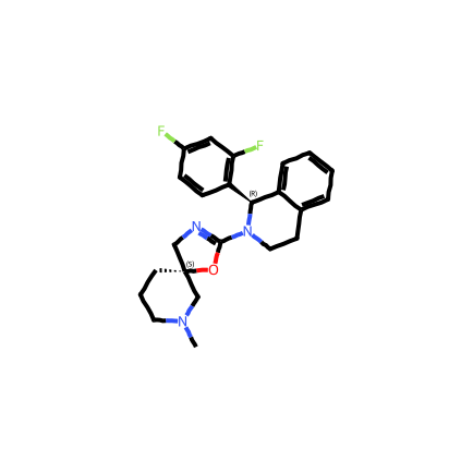 CN1CCC[C@@]2(CN=C(N3CCc4ccccc4[C@@H]3c3ccc(F)cc3F)O2)C1